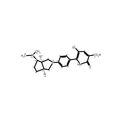 CCc1cc(C(=O)O)c(=O)[nH]c1-c1ccc(N2C[C@H]3CC[C@@H](N(C)C)[C@H]3C2)cc1